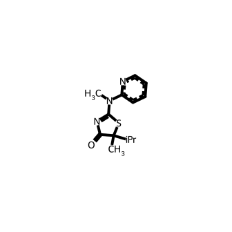 CC(C)C1(C)SC(N(C)c2ccccn2)=NC1=O